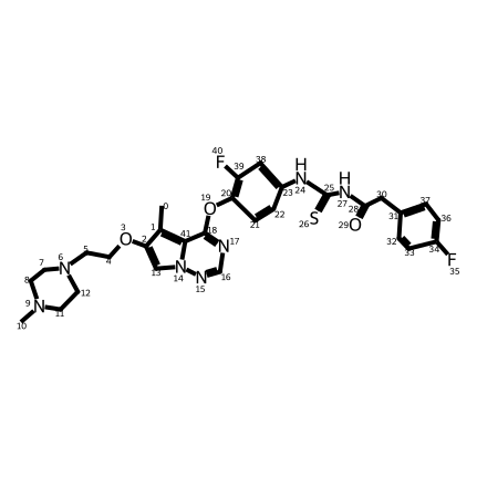 Cc1c(OCCN2CCN(C)CC2)cn2ncnc(Oc3ccc(NC(=S)NC(=O)Cc4ccc(F)cc4)cc3F)c12